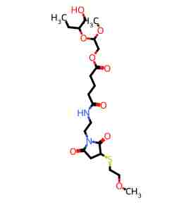 CCC(CO)OC(COC(=O)CCCC(=O)NCCN1C(=O)CC(SCCOC)C1=O)OC